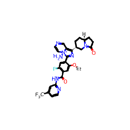 CCOc1cc(C(=O)Nc2cc(C(F)(F)F)ccn2)c(F)cc1C1=NC([C@@H]2CC[C@H]3CCC(=O)N3C2)=C2C=NC=C[N+]12N